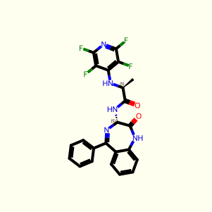 C[C@H](Nc1c(F)c(F)nc(F)c1F)C(=O)N[C@H]1N=C(c2ccccc2)c2ccccc2NC1=O